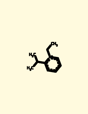 CC[n+]1ccccc1C(C)C